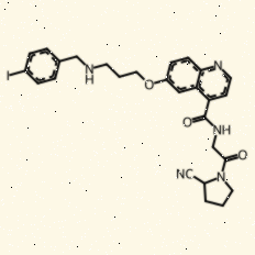 N#CC1CCCN1C(=O)CNC(=O)c1ccnc2ccc(OCCCNCc3ccc(I)cc3)cc12